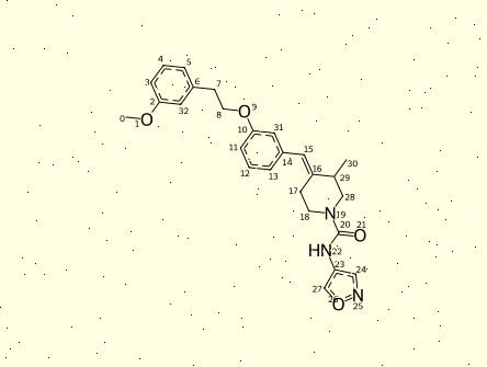 COc1cccc(CCOc2cccc(C=C3CCN(C(=O)Nc4cnoc4)CC3C)c2)c1